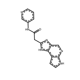 O=C(Cc1nc2cnc3[nH]ccc3c2[nH]1)Nc1cccnc1